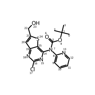 CC(C)(C)OC(=O)N(c1ccccn1)c1nc(Cl)nc2cc(CO)sc12